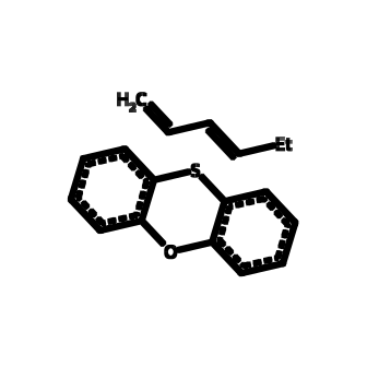 C=CC=CCC.c1ccc2c(c1)Oc1ccccc1S2